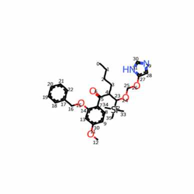 CCCCC(C(=O)c1ccc(OC)cc1OCc1ccccc1)C(OCOc1cnc[nH]1)[Si](C)(C)C